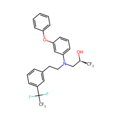 O[C@H](CN(CCc1cccc(C(F)(F)C(F)(F)F)c1)c1cccc(Oc2ccccc2)c1)C(F)(F)F